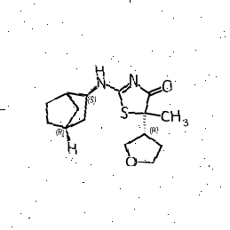 CC1([C@@H]2CCOC2)SC(N[C@H]2C[C@@H]3CCC2C3)=NC1=O